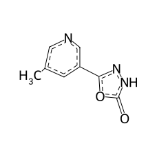 Cc1cncc(-c2n[nH]c(=O)o2)c1